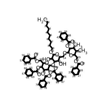 C=CCCCCCCCCOC1OC(COC2OC(COC(=O)c3ccccc3)C(C)C(C)C2OC(=O)c2ccccc2)C(O)C(OC2OC(COC(=O)c3ccccc3)C(OC(=O)c3ccccc3)C(OC(=O)c3ccccc3)C2OC(=O)c2ccccc2)C1O